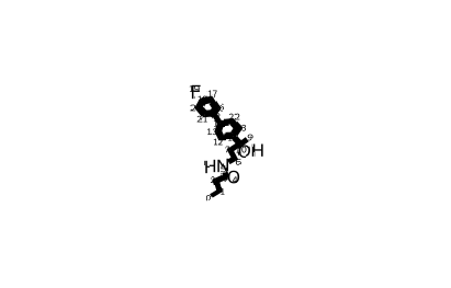 CCCC(=O)NCCC(C)(O)c1ccc(-c2ccc(F)cc2)cc1